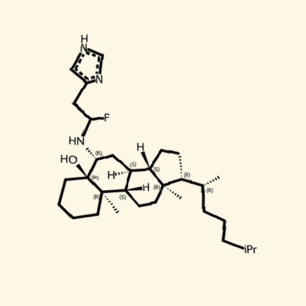 CC(C)CCC[C@@H](C)[C@H]1CC[C@H]2[C@@H]3C[C@@H](NC(F)Cc4c[nH]cn4)[C@@]4(O)CCCC[C@]4(C)[C@H]3CC[C@]12C